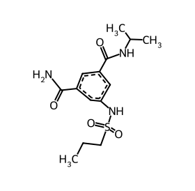 CCCS(=O)(=O)Nc1cc(C(N)=O)cc(C(=O)NC(C)C)c1